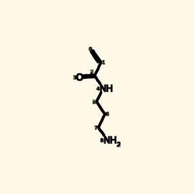 C=CC(=O)NCCCN